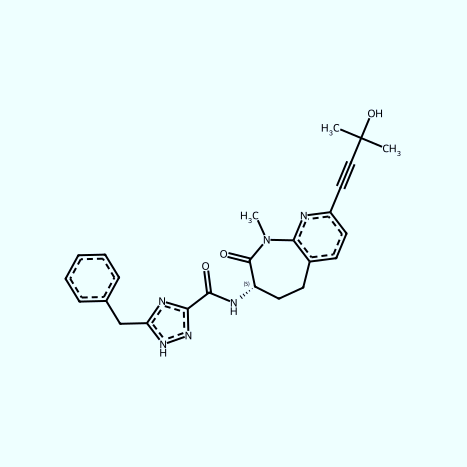 CN1C(=O)[C@@H](NC(=O)c2n[nH]c(Cc3ccccc3)n2)CCc2ccc(C#CC(C)(C)O)nc21